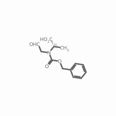 C[C@@H](C(=O)O)N(CC=O)C(=O)OCc1ccccc1